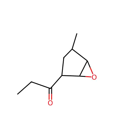 CCC(=O)C1CC(C)C2OC12